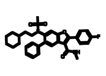 CNC(=O)c1c(-c2ccc(F)cc2)oc2cc(N(CCC3CCCCC3)S(C)(=O)=O)c(-c3ccccc3)cc12